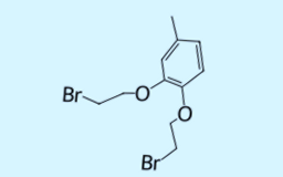 Cc1ccc(OCCBr)c(OCCBr)c1